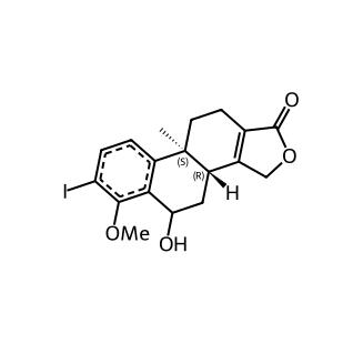 COc1c(I)ccc2c1C(O)C[C@H]1C3=C(CC[C@]21C)C(=O)OC3